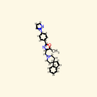 Cc1oc(-c2ccc(-n3cccn3)cc2)nc1CN1CCC2(C=Cc3ccccc32)CC1